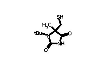 CC(C)(C)N1C(=O)NC(=O)C1(C)CS